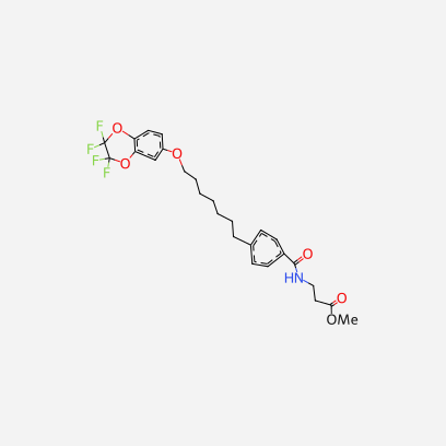 COC(=O)CCNC(=O)c1ccc(CCCCCCCOc2ccc3c(c2)OC(F)(F)C(F)(F)O3)cc1